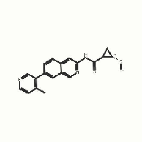 CCO[C@H]1CC1C(=O)Nc1cc2ccc(-c3cnccc3C)cc2cn1